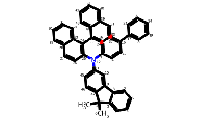 CC1(C)c2ccccc2-c2cc(N(c3ccc(-c4ccccc4)cc3)c3ccc4ccccc4c3-c3cccc4ccccc34)ccc21